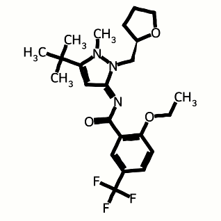 CCOc1ccc(C(F)(F)F)cc1C(=O)N=c1cc(C(C)(C)C)n(C)n1C[C@H]1CCCO1